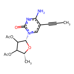 CC#Cc1cn([C@@H]2O[C@H](C)C(OC(C)=O)C2OC(C)=O)c(=O)nc1N